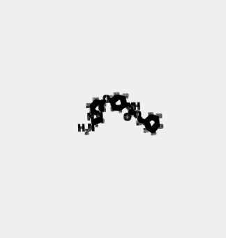 Nc1cn2cc(Oc3ccc(NC(=O)OCc4ccccc4)cc3)ccc2n1